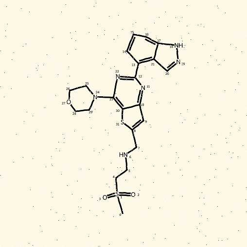 CS(=O)(=O)CCNCc1cc2nc(-c3cccc4[nH]ncc34)nc(N3CCOCC3)c2s1